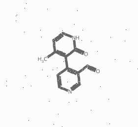 Cc1cc[nH]c(=O)c1-c1ccn[c]c1C=O